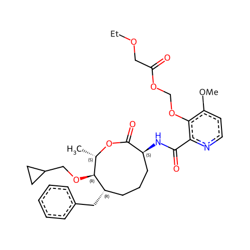 CCOCC(=O)OCOc1c(OC)ccnc1C(=O)N[C@H]1CCC[C@H](Cc2ccccc2)[C@@H](OCC2CC2)[C@H](C)OC1=O